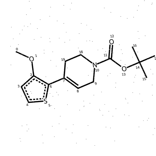 COc1ccsc1C1=CCN(C(=O)OC(C)(C)C)CC1